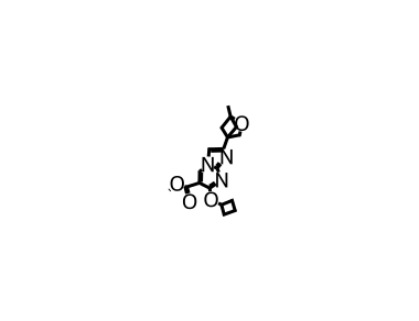 COC(=O)c1cn2cc(C34COC(C)(C3)C4)nc2nc1OC1CCC1